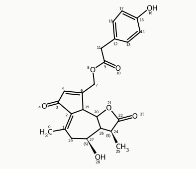 CC1=C2C(=O)C=C(COC(=O)Cc3ccc(O)cc3)C2C2OC(=O)[C@@H](C)C2[C@@H](O)C1